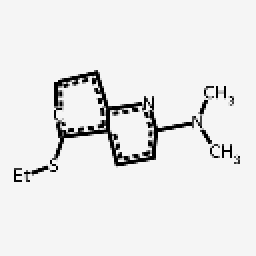 CCSc1cccc2nc(N(C)C)ccc12